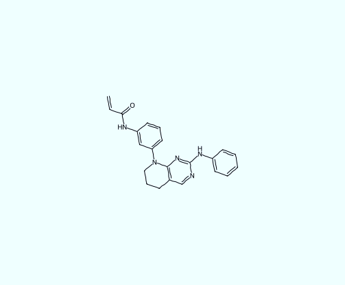 C=CC(=O)Nc1cccc(N2CCCc3cnc(Nc4ccccc4)nc32)c1